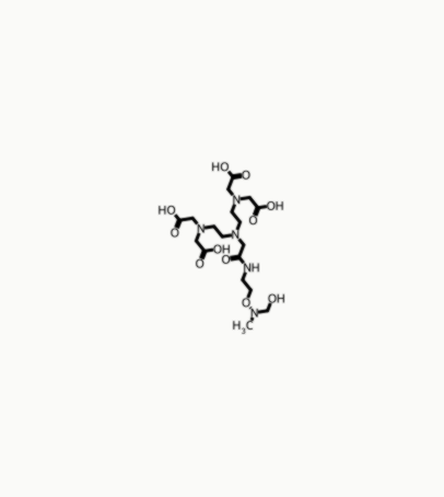 CN(CO)OCCNC(=O)CN(CCN(CC(=O)O)CC(=O)O)CCN(CC(=O)O)CC(=O)O